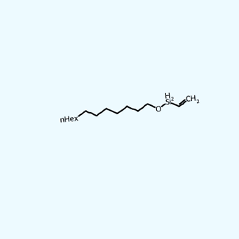 C=C[SiH2]OCCCCCCCCCCCCC